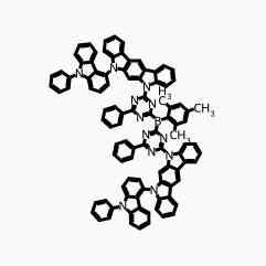 Cc1cc(C)c(B(c2nc(-c3ccccc3)nc(-n3c4ccccc4c4cc5c6ccccc6n(-c6cccc7c6c6ccccc6n7-c6ccccc6)c5cc43)n2)c2nc(-c3ccccc3)nc(-n3c4ccccc4c4cc5c6ccccc6n(-c6cccc7c6c6ccccc6n7-c6ccccc6)c5cc43)n2)c(C)c1